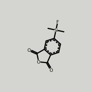 C[Si](C)(F)c1ccc2c(c1)C(=O)OC2=O